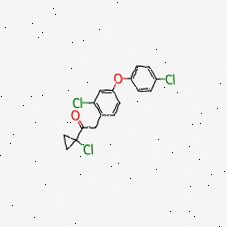 O=C(Cc1ccc(Oc2ccc(Cl)cc2)cc1Cl)C1(Cl)CC1